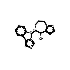 O[C@H]1c2ccnn2CCC[C@H]1[C@@H]1c2ccccc2-c2cncn21